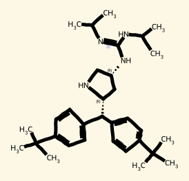 CC(C)/N=C(\NC(C)C)N[C@H]1CN[C@@H](C(c2ccc(C(C)(C)C)cc2)c2ccc(C(C)(C)C)cc2)C1